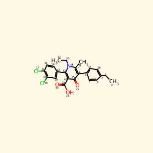 CCc1ccc(-c2c(C)n(CC)c(-c3ccc(Cl)c(Cl)c3)c(C(=O)O)c2=O)cc1